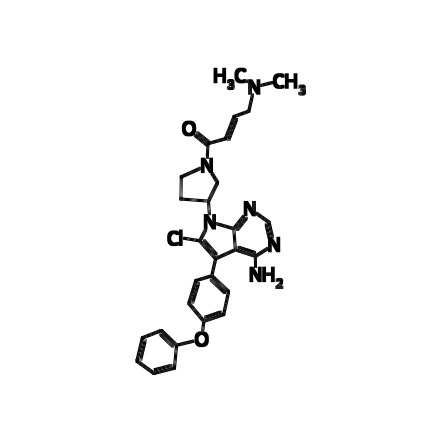 CN(C)CC=CC(=O)N1CCC(n2c(Cl)c(-c3ccc(Oc4ccccc4)cc3)c3c(N)ncnc32)C1